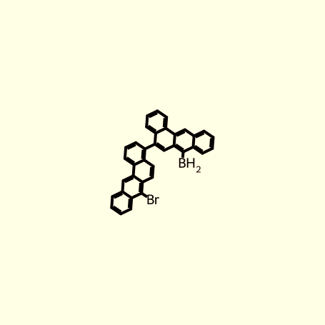 Bc1c2ccccc2cc2c1cc(-c1cccc3c1ccc1c(Br)c4ccccc4cc13)c1ccccc12